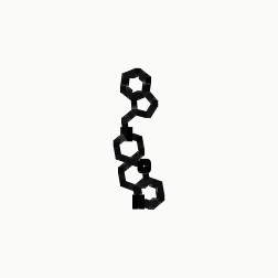 c1ccc2c(c1)CCC2CN1CCC2(CCc3ncccc3O2)CC1